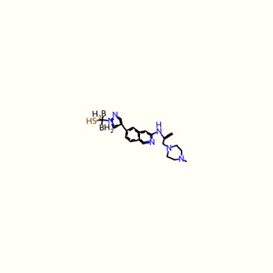 BC(B)(S)n1cc(-c2ccc3cnc(NC(=C)CN4CCN(C)CC4)cc3c2)cn1